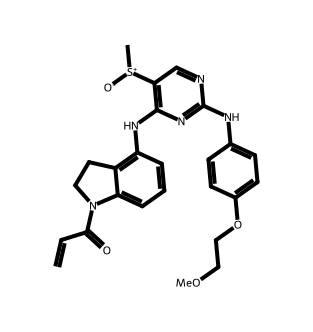 C=CC(=O)N1CCc2c(Nc3nc(Nc4ccc(OCCOC)cc4)ncc3[S+](C)[O-])cccc21